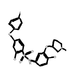 CN1CCC(Oc2cc(NS(=O)(=O)c3ccc(Sc4ccc(F)cc4)cc3Cl)ccc2Cl)C1